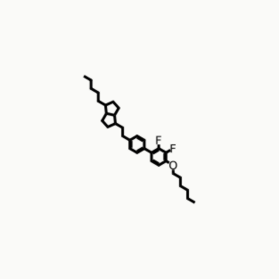 CCCCCCOc1ccc(-c2ccc(CCC3CCC4C(CCCCC)CCC34)cc2)c(F)c1F